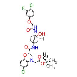 CC(C)(C)OC(=O)CN1C[C@H](C(=O)NC23CCC(NC(=O)COc4ccc(Cl)c(F)c4)(CC2)[C@@H](O)C3)Oc2ccc(Cl)cc21